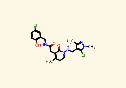 CC1=C(CC(=O)NCc2cc(Cl)ccc2O)C(=O)N(NCc2c(C)nn(C)c2Cl)CC1